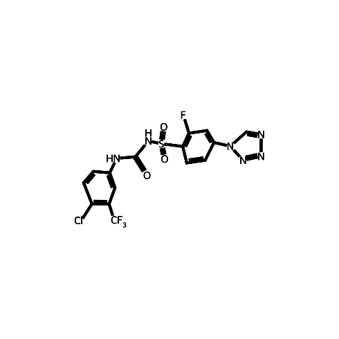 O=C(Nc1ccc(Cl)c(C(F)(F)F)c1)NS(=O)(=O)c1ccc(-n2cnnn2)cc1F